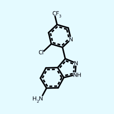 Nc1ccc2c(-c3ncc(C(F)(F)F)cc3Cl)n[nH]c2c1